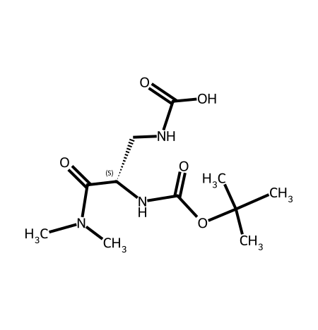 CN(C)C(=O)[C@H](CNC(=O)O)NC(=O)OC(C)(C)C